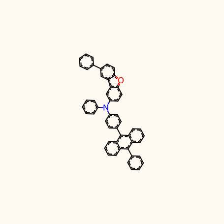 c1ccc(-c2ccc3oc4ccc(N(c5ccccc5)c5ccc(-c6c7ccccc7c(-c7ccccc7)c7ccccc67)cc5)cc4c3c2)cc1